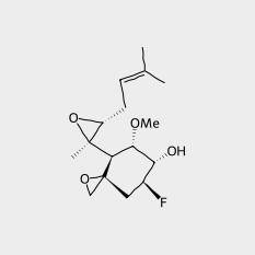 CO[C@@H]1[C@H](O)[C@@H](F)C[C@]2(CO2)[C@H]1[C@@]1(C)O[C@@H]1CC=C(C)C